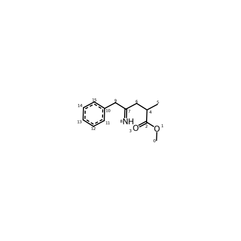 COC(=O)C(C)CC(=N)Cc1ccccc1